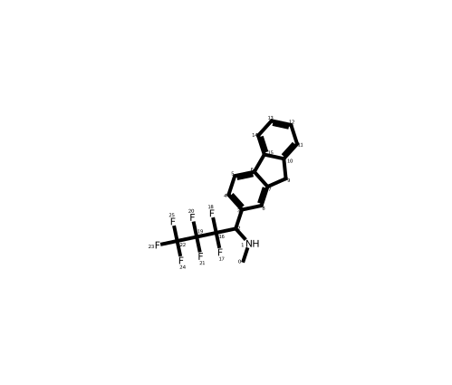 CNC(c1ccc2c(c1)Cc1ccccc1-2)C(F)(F)C(F)(F)C(F)(F)F